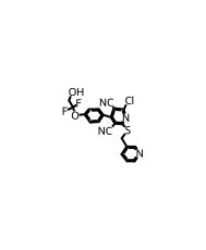 N#Cc1c(Cl)nc(SCc2cccnc2)c(C#N)c1-c1ccc(OC(F)(F)CO)cc1